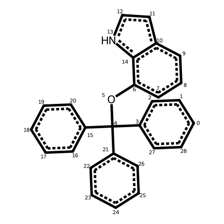 c1ccc(C(Oc2cccc3cc[nH]c23)(c2ccccc2)c2ccccc2)cc1